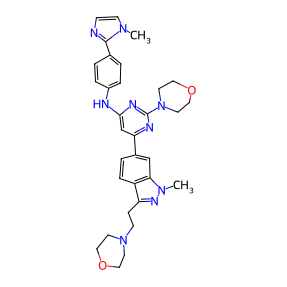 Cn1ccnc1-c1ccc(Nc2cc(-c3ccc4c(CCN5CCOCC5)nn(C)c4c3)nc(N3CCOCC3)n2)cc1